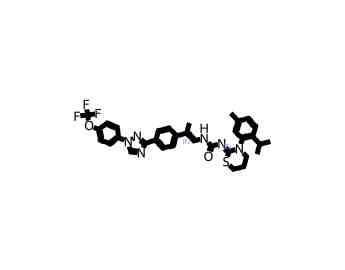 C/C(=C\NC(=O)/N=C1\SCCCN1c1cc(C)ccc1C(C)C)c1ccc(-c2ncn(-c3ccc(OC(F)(F)F)cc3)n2)cc1